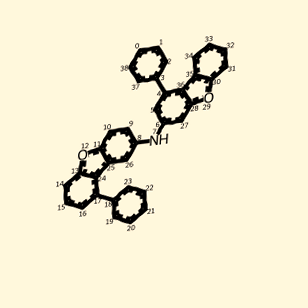 c1ccc(-c2cc(Nc3ccc4oc5cccc(-c6ccccc6)c5c4c3)cc3oc4ccccc4c23)cc1